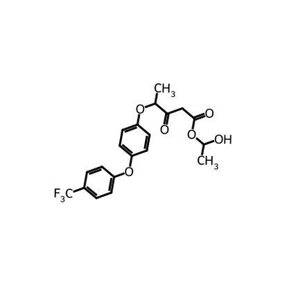 CC(O)OC(=O)CC(=O)C(C)Oc1ccc(Oc2ccc(C(F)(F)F)cc2)cc1